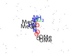 COc1cccc(COC(=O)CN2CC[C@H](NC(=O)c3cc(Cl)c(N)nc3OC)[C@H](OC)C2)c1OC